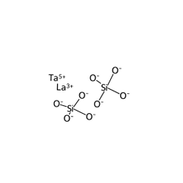 [La+3].[O-][Si]([O-])([O-])[O-].[O-][Si]([O-])([O-])[O-].[Ta+5]